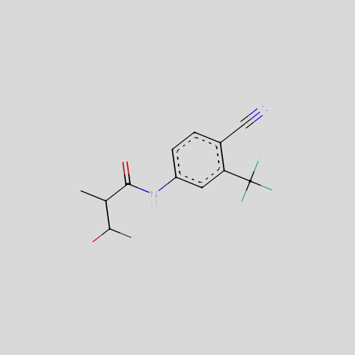 CC(C(=O)Nc1ccc(C#N)c(C(F)(F)F)c1)C(O)Br